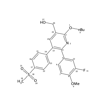 CCCCOc1nc(-c2ccc(OC)c(F)c2)c(-c2ccc(S(C)(=O)=O)cc2)cc1CO